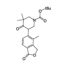 Cc1c(C2CN(C(=O)OC(C)(C)C)CC(C)(C)C2=O)ccc2c1COC2=O